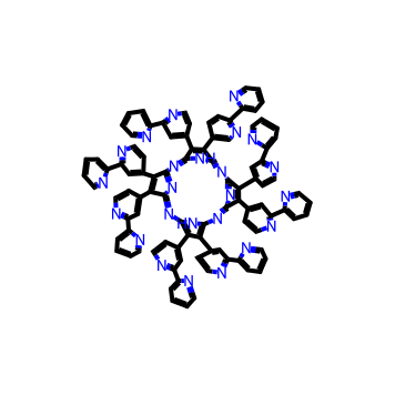 c1ccc(-c2ccc(-c3c(-c4ccnc(-c5ccccn5)c4)c4nc5nc(nc6[nH]c(nc7nc(nc3[nH]4)C(c3ccnc(-c4ccccn4)c3)=C7c3ccnc(-c4ccccn4)c3)c(-c3ccnc(-c4ccccn4)c3)c6-c3ccnc(-c4ccccn4)c3)C(c3ccnc(-c4ccccn4)c3)=C5c3ccnc(-c4ccccn4)c3)cn2)nc1